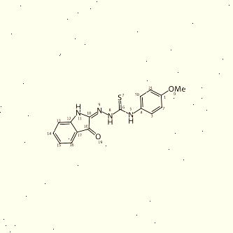 COc1ccc(NC(=S)NN=C2Nc3ccccc3C2=O)cc1